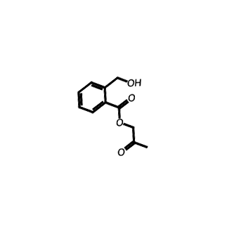 CC(=O)COC(=O)c1ccccc1CO